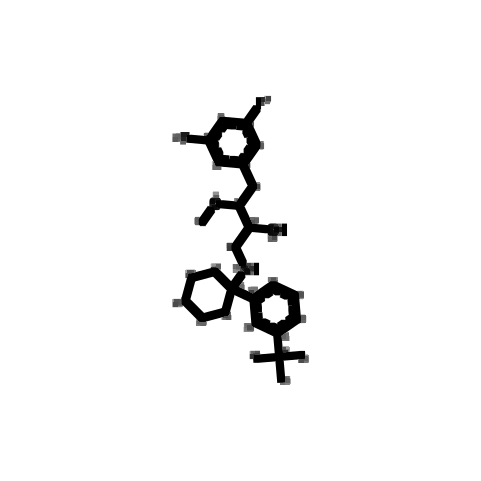 COC(Cc1cc(F)cc(F)c1)C(O)CNC1(c2cccc(C(C)(C)C)c2)CCCCC1